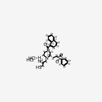 Cl.Cl.N[C@@H](CS)CN1CCN(C(=O)c2cccc3ccccc23)C[C@@H]1CCS(=O)(=O)c1ccccc1